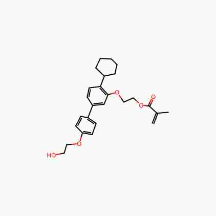 C=C(C)C(=O)OCCOc1cc(-c2ccc(OCCO)cc2)ccc1C1CCCCC1